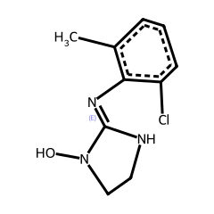 Cc1cccc(Cl)c1/N=C1\NCCN1O